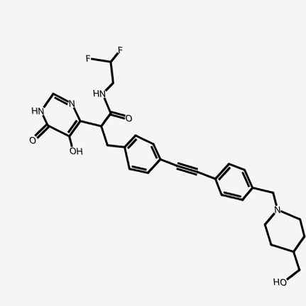 O=C(NCC(F)F)C(Cc1ccc(C#Cc2ccc(CN3CCC(CO)CC3)cc2)cc1)c1nc[nH]c(=O)c1O